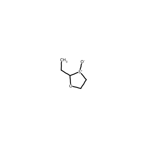 CCC1OCC[S+]1[O-]